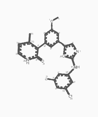 COc1cc(-c2cnc(Nc3cc(Cl)cc(Cl)c3)o2)cc(-c2c(C)cc[nH]c2=O)c1